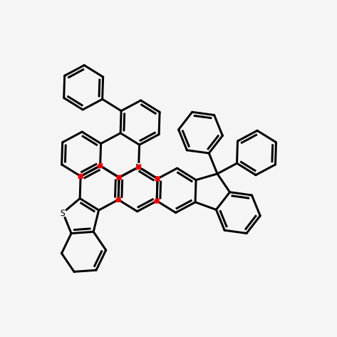 C1=Cc2c(sc3ccc(N(c4ccc5c(c4)C(c4ccccc4)(c4ccccc4)c4ccccc4-5)c4cccc(-c5ccccc5)c4-c4ccccc4-c4ccccc4)cc23)CC1